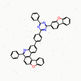 c1ccc(-c2nc(-c3ccc(-c4ccc5c(c4)nc(-c4ccccc4)c4ccc6oc7ccccc7c6c45)cc3)nc(-c3ccc4c(c3)oc3ccccc34)n2)cc1